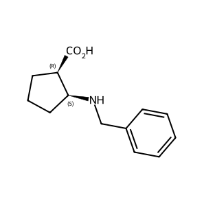 O=C(O)[C@@H]1CCC[C@@H]1NCc1ccccc1